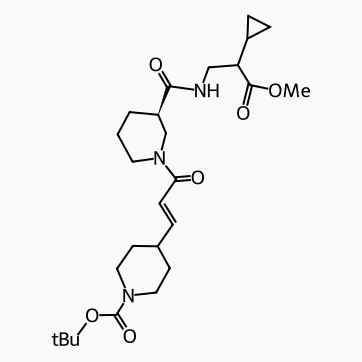 COC(=O)C(CNC(=O)[C@@H]1CCCN(C(=O)/C=C/C2CCN(C(=O)OC(C)(C)C)CC2)C1)C1CC1